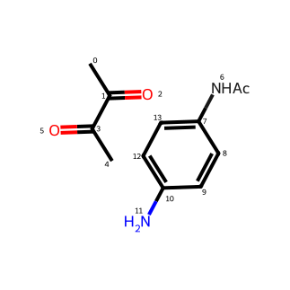 CC(=O)C(C)=O.CC(=O)Nc1ccc(N)cc1